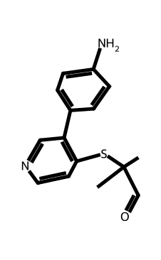 CC(C)(C=O)Sc1ccncc1-c1ccc(N)cc1